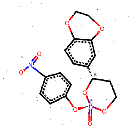 O=[N+]([O-])c1ccc(O[P@]2(=O)OCC[C@@H](c3ccc4c(c3)OCCO4)O2)cc1